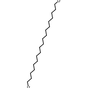 [O]CCCCCCCCCCCCCCCCCCC[O]